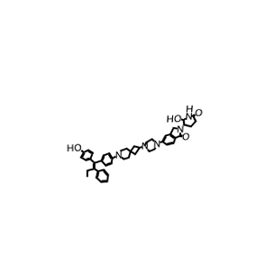 CC/C(=C(\c1ccc(O)cc1)c1ccc(N2CCC3(CC2)CC(N2CCN(c4ccc5c(c4)CN(C4CCC(=O)NC4O)C5=O)CC2)C3)cc1)c1ccccc1